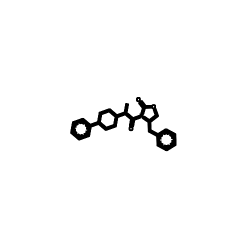 CC(C(=O)N1C(=O)OCC1Cc1ccccc1)C1CCC(c2ccccc2)CC1